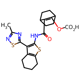 Cc1nsc(-c2c(NC(=O)C3=C(OC(=O)O)C4CCC3CC4)sc3c2CCCC3)n1